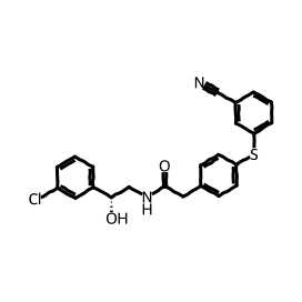 N#Cc1cccc(Sc2ccc(CC(=O)NC[C@H](O)c3cccc(Cl)c3)cc2)c1